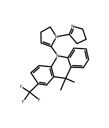 CC1(C)c2ccccc2N(C2=CCCN2C2=NCCC2)c2ccc(C(F)(F)F)cc21